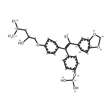 CCC(=C(c1ccc(OCC(O)CN(C)CC)cc1)c1ccc(OP(O)O)cc1)c1ccc2c(c1)OCO2